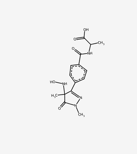 CC(NC(=O)c1ccc(C2=NN(C)C(=O)C2(C)NO)cc1)C(=O)O